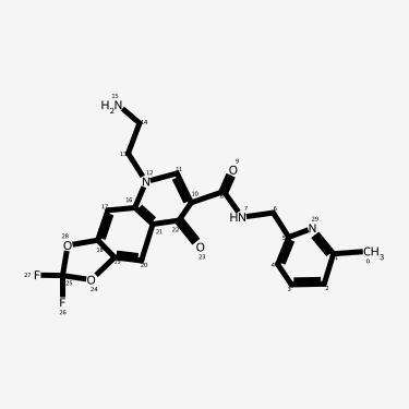 Cc1cccc(CNC(=O)c2cn(CCN)c3cc4c(cc3c2=O)OC(F)(F)O4)n1